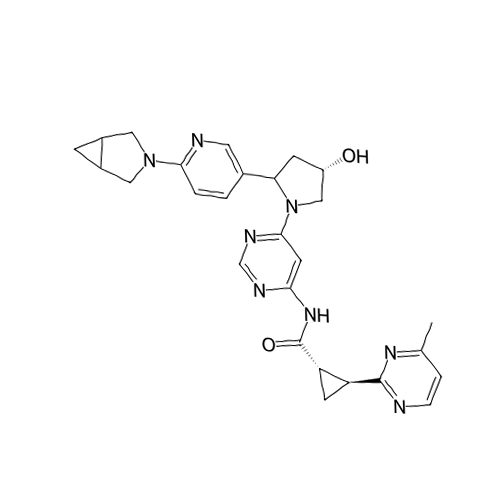 Cc1ccnc([C@H]2C[C@@H]2C(=O)Nc2cc(N3C[C@@H](O)CC3c3ccc(N4CC5CC5C4)nc3)ncn2)n1